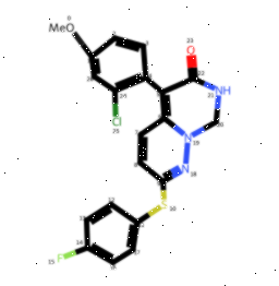 COc1ccc(C2=C3C=CC(Sc4ccc(F)cc4)=NN3CNC2=O)c(Cl)c1